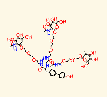 CC(=O)N[C@@H]1[C@@H](O)[C@@H](O)[C@@H](CO)C[C@H]1OCCOCCOCCNC(=O)C(Cc1ccc(-c2ccc(O)cc2)cc1)N(CC(=O)NCCOCCOCCO[C@@H]1O[C@H](CO)[C@H](O)[C@H](O)[C@H]1C)CC(=O)NCCOCCOCCO[C@@H]1O[C@H](CO)[C@H](O)[C@H](O)[C@H]1NC(C)=O